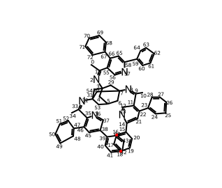 C/C(=N/C12CC3CC(/N=C(/C)c4cnc(-c5ccccc5)cc4-c4ccccc4)(C1)CC(/N=C(/C)c1ncc(-c4ccccc4)cc1-c1ccccc1)(C3)C2)c1cnc(-c2ccccc2)cc1-c1ccccc1